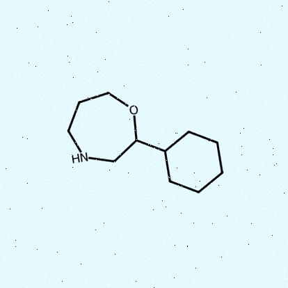 C1CCC(C2CNCCCO2)CC1